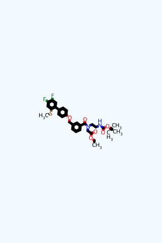 CCOC(=O)CN(CCNC(=O)OC(C)(C)C)C(=O)c1cccc(COc2ccc(-c3cc(F)c(F)cc3SC)cc2)c1